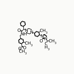 COC(=O)c1ccc(CNC(=O)C(c2ccccc2)N2CCN(c3ccc(-n4ccn(C(C)C)c4=O)c(C)c3)CC2)cc1C